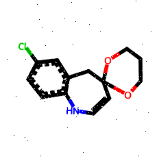 Clc1ccc2c(c1)CC1(C=CN2)OCCCO1